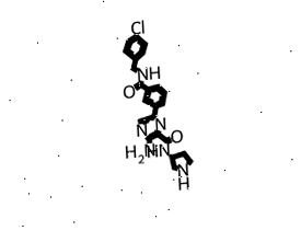 Nc1ncc(-c2cccc(C(=O)NCc3ccc(Cl)cc3)c2)nc1C(=O)N[C@H]1CCNC1